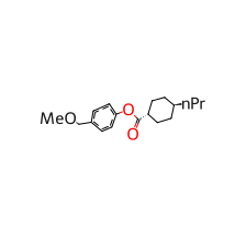 CCC[C@H]1CC[C@H](C(=O)Oc2ccc(COC)cc2)CC1